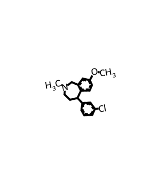 COc1ccc2c(c1)CN(C)CCC2c1cccc(Cl)c1